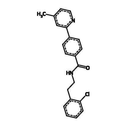 Cc1ccnc(-c2ccc(C(=O)NCCc3ccccc3Cl)cc2)c1